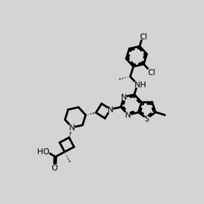 Cc1cc2c(N[C@H](C)c3ccc(Cl)cc3Cl)nc(N3CC([C@H]4CCCN([C@H]5C[C@](C)(C(=O)O)C5)C4)C3)nc2s1